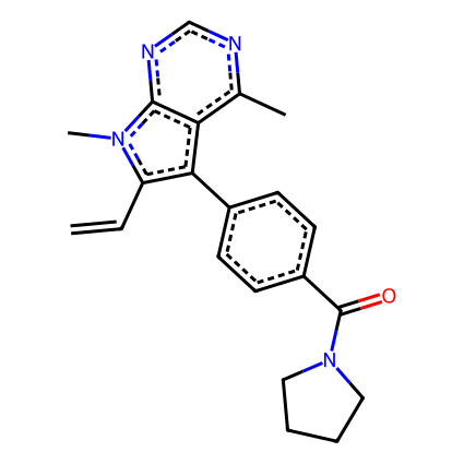 C=Cc1c(-c2ccc(C(=O)N3CCCC3)cc2)c2c(C)ncnc2n1C